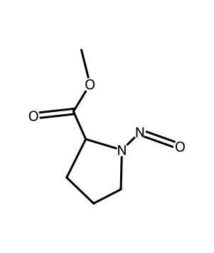 COC(=O)C1CCCN1N=O